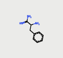 N=C(N)C(N)Cc1ccccc1